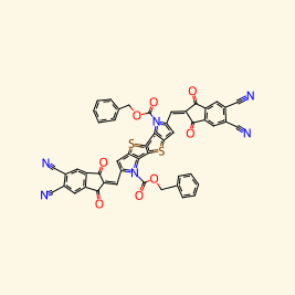 N#Cc1cc2c(cc1C#N)C(=O)C(=Cc1cc3sc4c(sc5cc(C=C6C(=O)c7cc(C#N)c(C#N)cc7C6=O)n(C(=O)OCc6ccccc6)c54)c3n1C(=O)OCc1ccccc1)C2=O